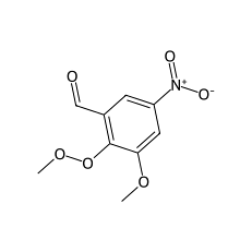 COOc1c(C=O)cc([N+](=O)[O-])cc1OC